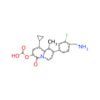 Cc1c(-c2ccc(CN)c(F)c2)ccn2c(=O)c(OC(=O)O)cc(C3CC3)c12